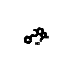 Cc1ccc2s[nH]c(=O)c2c1CCc1ccccn1.Cl